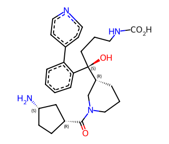 N[C@H]1CC[C@@H](C(=O)N2CCC[C@@H]([C@@](O)(CCCNC(=O)O)c3ccccc3-c3ccncc3)C2)C1